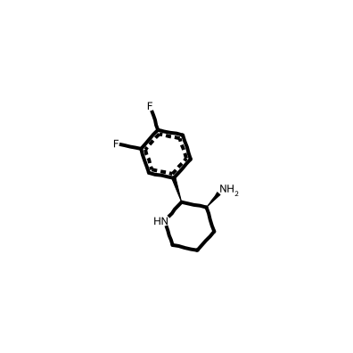 N[C@H]1CCCN[C@H]1c1ccc(F)c(F)c1